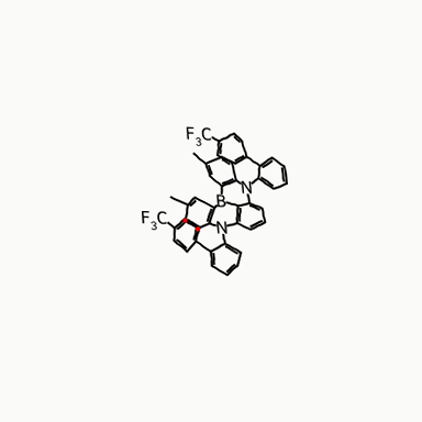 Cc1ccc2c(c1)B1c3cc(C)ccc3N(c3ccccc3-c3ccc(C(F)(F)F)cc3)c3cccc(c31)N2c1ccccc1-c1ccc(C(F)(F)F)cc1